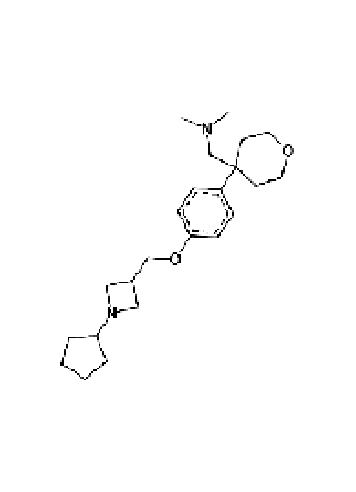 CN(C)CC1(c2ccc(OCC3CN(C4CCCC4)C3)cc2)CCOCC1